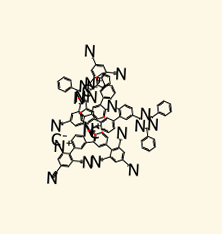 [C-]#[N+]c1cc(C#N)cc(C#N)c1-c1ccc2c(c1)c1cc(-c3c(C#N)cc(C#N)cc3C#N)ccc1n2-c1ccc(-c2nc(-c3ccccc3)nc(-c3ccccc3)n2)cc1-c1cccc(-c2cc(-c3nc(-c4ccccc4)nc(-c4ccccc4)n3)ccc2-n2c3ccc(-c4c(C#N)cc(C#N)cc4[N+]#[C-])cc3c3cc(-c4c(C#N)cc(C#N)cc4[N+]#[C-])ccc32)c1